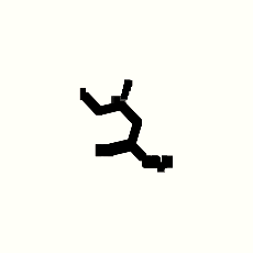 C[C@@H](CI)CC(=N)C(=O)O